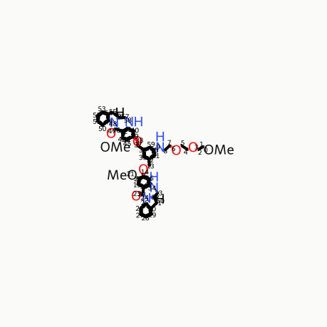 COCCOCCOCCNc1cc(COc2cc3c(cc2OC)C(=O)N2c4ccccc4C[C@H]2CN3)cc(COc2cc3c(cc2OC)C(=O)N2c4ccccc4C[C@H]2CN3)c1